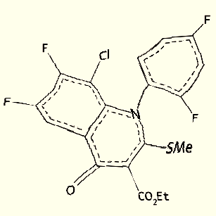 CCOC(=O)c1c(SC)n(-c2ccc(F)cc2F)c2c(Cl)c(F)c(F)cc2c1=O